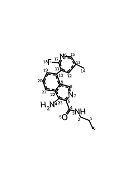 CCCNC(=O)c1ncc2c(-c3cc(C)cnc3F)cccc2c1N